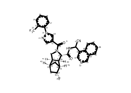 N#CC(NC(=O)[C@@H]1[C@@H]2[C@H](CN1C(=O)c1cnn(-c3ccccc3C(F)(F)F)c1)[C@H]1C[C@@H]2[C@H](F)C1)c1cncc2ccccc12